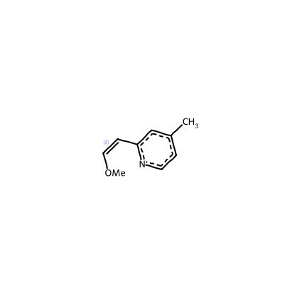 CO/C=C\c1cc(C)ccn1